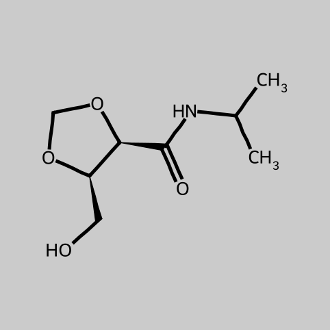 CC(C)NC(=O)[C@@H]1OCO[C@@H]1CO